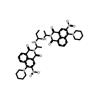 CCC(NC(C)N1C(=O)c2cccc3c(N4CCCCC4)c([N+](=O)[O-])cc(c23)C1=O)NC(C)N1C(=O)c2cccc3c(N4CCCCC4)c([N+](=O)[O-])cc(c23)C1=O